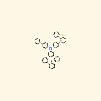 c1ccc(-c2ccc(N(c3ccc(-c4cccc5sc6ccccc6c45)cc3)c3ccc(C4(c5ccccc5)c5ccccc5-c5ccccc54)cc3)cc2)cc1